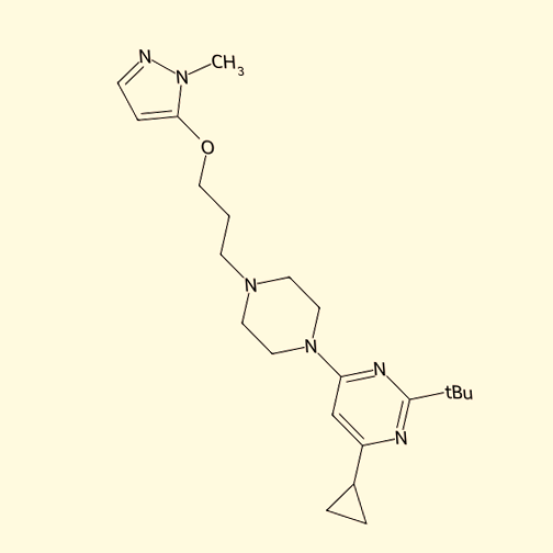 Cn1nccc1OCCCN1CCN(c2cc(C3CC3)nc(C(C)(C)C)n2)CC1